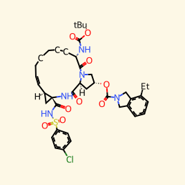 CCc1cccc2c1CN(C(=O)O[C@@H]1C[C@H]3C(=O)N[C@]4(C(=O)NS(=O)(=O)c5ccc(Cl)cc5)C[C@H]4/C=C\CCCCC[C@H](NC(=O)OC(C)(C)C)C(=O)N3C1)C2